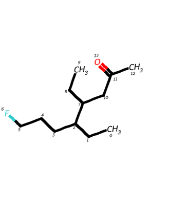 CCC(CCCF)C(CC)CC(C)=O